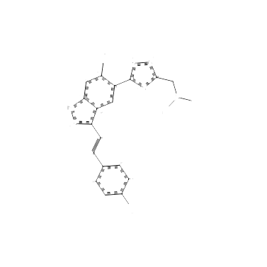 CN(C)Cc1nnc(-c2cc3c(C=Cc4ccc(F)cc4)n[nH]c3cc2F)[nH]1